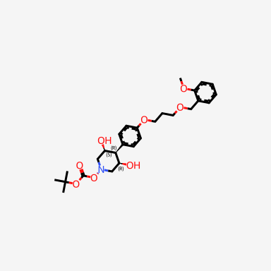 COc1ccccc1COCCCOc1ccc([C@@H]2[C@H](O)CN(OC(=O)OC(C)(C)C)C[C@@H]2O)cc1